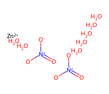 O.O.O.O.O.O.O.O=[N+]([O-])[O-].O=[N+]([O-])[O-].[Zn+2]